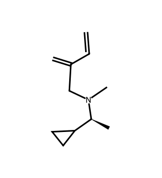 C=CC(=C)CN(C)[C@@H](C)C1CC1